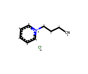 N#CCCC[n+]1ccccc1.[Cl-]